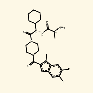 CN[C@@H](C)C(=O)N[C@H](C(=O)N1CCN(C(=O)c2cc3cc(F)c(F)cc3n2C)CC1)C1CCCCC1